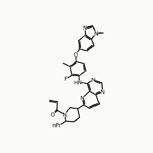 C=CC(=O)N1CC(c2ccc3ncnc(Nc4ccc(Oc5ccc6c(c5)ncn6C)c(C)c4F)c3n2)CCC1CCC